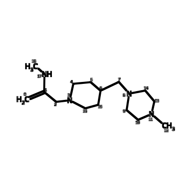 C=C(CN1CCC(CN2CCN(C)CC2)CC1)NC